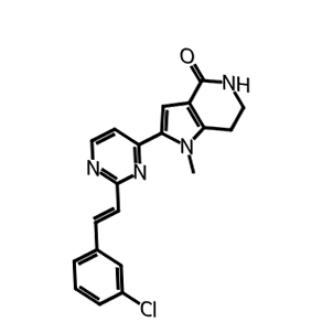 Cn1c(-c2ccnc(C=Cc3cccc(Cl)c3)n2)cc2c1CCNC2=O